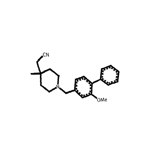 COc1cc(CN2CCC(C)(CC#N)CC2)ccc1-c1ccccc1